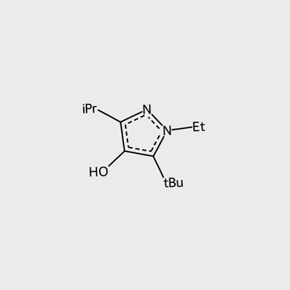 CCn1nc(C(C)C)c(O)c1C(C)(C)C